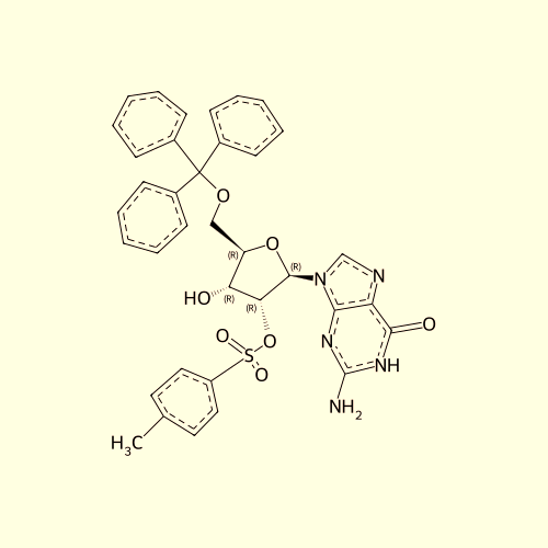 Cc1ccc(S(=O)(=O)O[C@@H]2[C@H](O)[C@@H](COC(c3ccccc3)(c3ccccc3)c3ccccc3)O[C@H]2n2cnc3c(=O)[nH]c(N)nc32)cc1